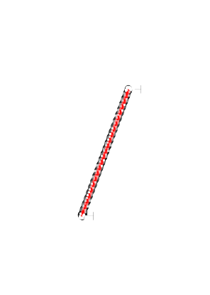 COCCOCCOCCOCCOCCOCCOCCOCCOCCOCCOCCOCCOCCOCCOCCOCCOCCOCCOCCOCCOCCOCCOCCOCCOCCOCCOCCOCCOCCOCCOCCOCCOCCOCCOCCOCCOCCOCCOCCOCCOCCOCCOCCOCCOCCOO